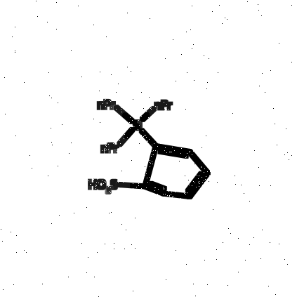 CCC[Si](CCC)(CCC)c1ccccc1S(=O)(=O)O